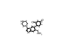 NCc1cc2ncc(N3CCNCC3)n2cc1-c1ccc(Cl)cc1Cl